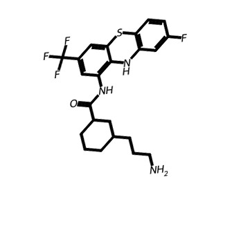 NCCCC1CCCC(C(=O)Nc2cc(C(F)(F)F)cc3c2Nc2cc(F)ccc2S3)C1